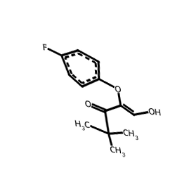 CC(C)(C)C(=O)/C(=C/O)Oc1ccc(F)cc1